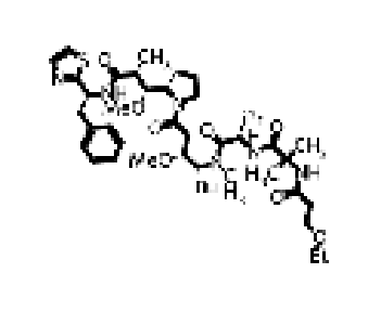 CCOCCC(=O)NC(C)(C)C(=O)N[C@H](C(=O)N(C)[C@@H]([C@@H](C)CC)[C@@H](CC(=O)N1CCC[C@H]1[C@H](OC)[C@@H](C)C(=O)N[C@@H](Cc1ccccc1)c1nccs1)OC)C(C)C